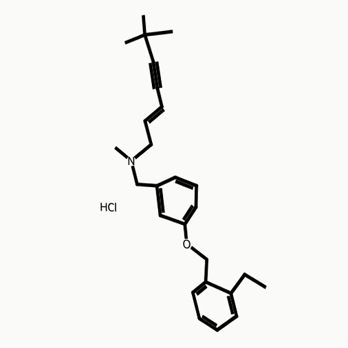 CCc1ccccc1COc1cccc(CN(C)C/C=C/C#CC(C)(C)C)c1.Cl